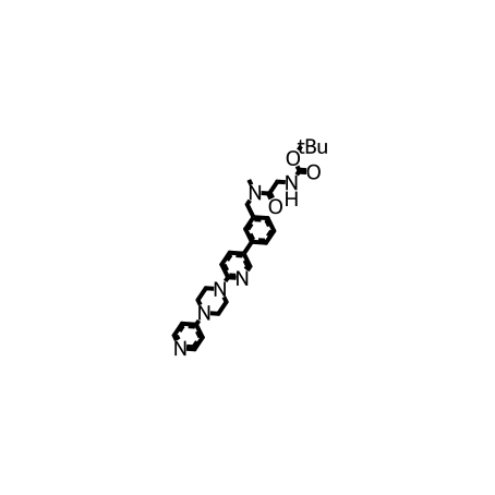 CN(Cc1cccc(-c2ccc(N3CCN(c4ccncc4)CC3)nc2)c1)C(=O)CNC(=O)OC(C)(C)C